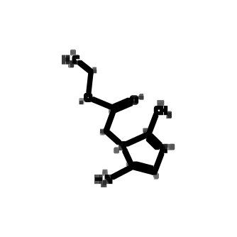 CCOC(=O)Cn1c(N)cnc1C